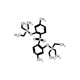 CC[Si](CC)(CC)Oc1cc(C)ccc1S(=O)(=O)c1ccc(C)cc1O[Si](CC)(CC)CC